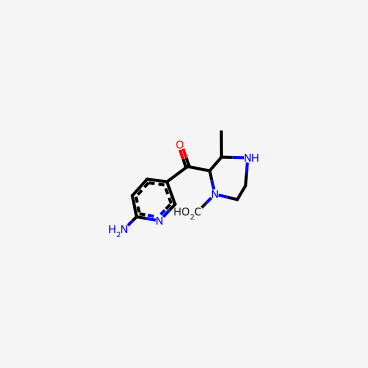 CC1NCCN(C(=O)O)C1C(=O)c1ccc(N)nc1